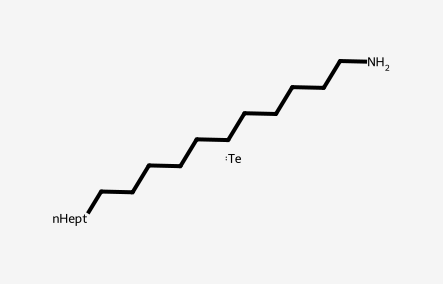 CCCCCCCCCCCCCCCCCCN.[Te]